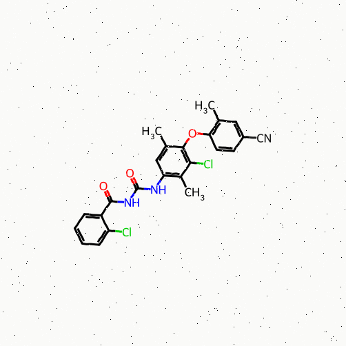 Cc1cc(C#N)ccc1Oc1c(C)cc(NC(=O)NC(=O)c2ccccc2Cl)c(C)c1Cl